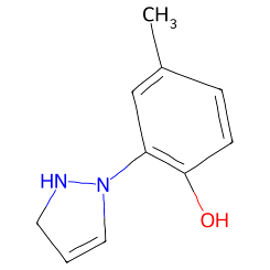 Cc1ccc(O)c(N2C=CCN2)c1